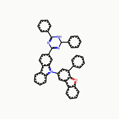 c1ccc(C2=NC(c3ccc4c5ccccc5n(-c5cc(-c6ccccc6)c6oc7ccccc7c6c5)c4c3)=NC(c3ccccc3)N2)cc1